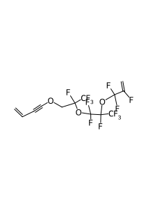 C=CC#COCC(F)(OC(F)(F)C(F)(OC(F)(F)C(=C)F)C(F)(F)F)C(F)(F)F